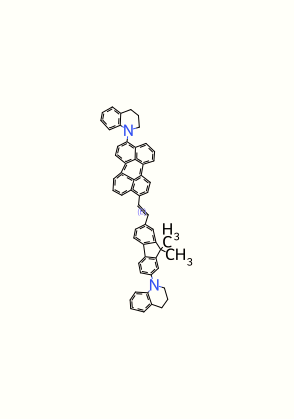 CC1(C)c2cc(/C=C/c3ccc4c5cccc6c(N7CCCc8ccccc87)ccc(c7cccc3c47)c65)ccc2-c2ccc(N3CCCc4ccccc43)cc21